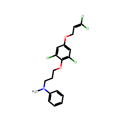 CN(CCCOc1c(Cl)cc(OCC=C(Cl)Cl)cc1Cl)c1ccccc1